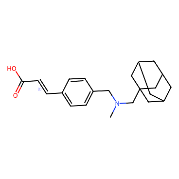 CN(Cc1ccc(/C=C/C(=O)O)cc1)CC12CC3CC(CC(C3)C1)C2